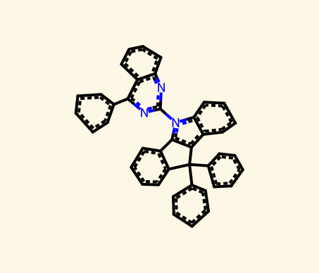 c1ccc(-c2nc(-n3c4c(c5ccccc53)C(c3ccccc3)(c3ccccc3)c3ccccc3-4)nc3ccccc23)cc1